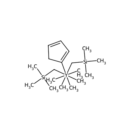 C[Si](C)(C)[CH2][Y]([CH3])([CH3])([CH3])([CH3])([CH3])([CH2][Si](C)(C)C)[C]1=CC=CC1